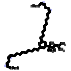 CCCCC/C=C\C/C=C\CCCCCCCCOc1cc(C(C)(CCN(C)C)C(=O)O)cc(OCCCCCCCC/C=C\C/C=C\CCCCC)n1